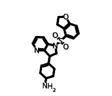 NC1CC=C(C2CN(S(=O)(=O)c3cccc4c3CCO4)c3cccnc32)CC1